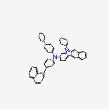 c1ccc(-c2ccc(N(c3ccc(-c4cccc5ccccc45)cc3)c3ccc4c5cc6ccccc6cc5n(-c5ccccc5)c4c3)cc2)cc1